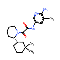 Cc1cc(NC(=O)C(=O)N2CCCC[C@H]2C2CCCC(C)(C)C2)cnc1N